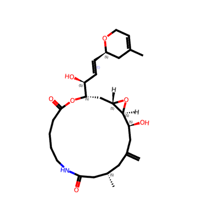 C=C1C[C@H](C)CC(=O)NCCCCC(=O)O[C@H]([C@@H](O)/C=C/[C@@H]2CC(C)=CCO2)C[C@@H]2O[C@H]2[C@@H](O)C1